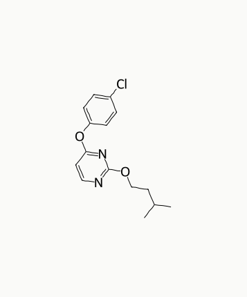 CC(C)CCOc1nccc(Oc2ccc(Cl)cc2)n1